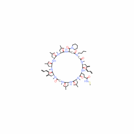 C=C/C=C\C(=C)C[C@H]1C(=O)NC(CCC(=O)NSC)C(=O)N(C)[C@@H](CC(C)C)C(=O)N[C@@H](CC(C)C)C(=O)N(C)CC(=O)N(C)[C@@H](CC(=C)/C=C\C=C)C(=O)N(C)[C@@H](CC(C)C)C(=O)N[C@@H](CC(C)C)C(=O)N(C)[C@@H](CC(C)C)C(=O)NC(C(=O)N2CCCCC2)CC(=O)N(CCCC)CC(=O)N1C